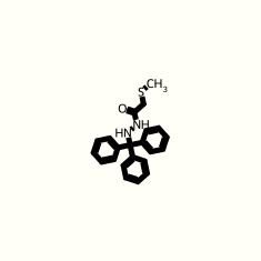 CSCC(=O)NNC(c1ccccc1)(c1ccccc1)c1ccccc1